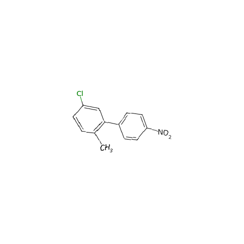 Cc1ccc(Cl)cc1-c1ccc([N+](=O)[O-])cc1